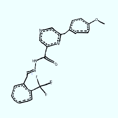 COc1ccc(-c2cncc(C(=O)N/N=C/c3ccccc3C(F)(F)F)n2)cc1